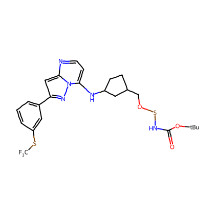 CC(C)(C)OC(=O)NSOCC1CCC(Nc2ccnc3cc(-c4cccc(SC(F)(F)F)c4)nn23)C1